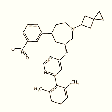 CC1=CCCC(C)=C1c1cc(O[C@H]2CC(c3cccc([SH](=O)=O)c3)CCN(C3CC4(CC4)C3)C2)ncn1